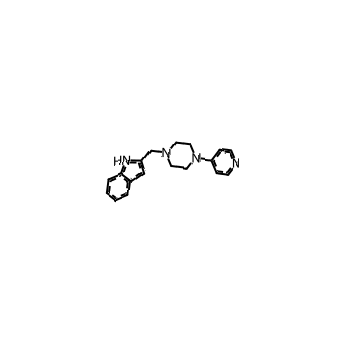 c1ccc2[nH]c(CN3CCN(c4ccncc4)CC3)cc2c1